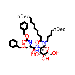 CCCCCCCCCCCCCCCCCC(=O)N(CCCCCCCCCCCCCC)[C@@H]1O[C@H](CO)[C@@H](O)[C@H](O)[C@H]1NC(=O)[C@H](COCc1ccccc1)NC(=O)OCc1ccccc1